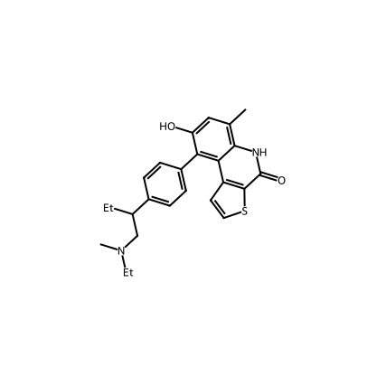 CCC(CN(C)CC)c1ccc(-c2c(O)cc(C)c3[nH]c(=O)c4sccc4c23)cc1